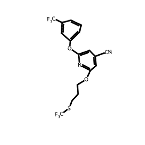 N#Cc1cc(OCCCSC(F)(F)F)nc(Oc2cccc(C(F)(F)F)c2)c1